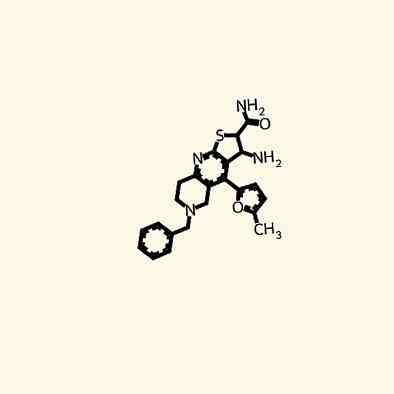 Cc1ccc(-c2c3c(nc4c2C(N)C(C(N)=O)S4)CCN(Cc2ccccc2)C3)o1